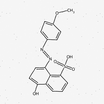 COc1ccc(N=Nc2ccc(O)c3cccc(S(=O)(=O)O)c23)cc1